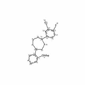 COc1cnccc1N1CCCN(c2ccc(F)c(Cl)c2)CC1